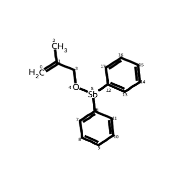 C=C(C)C[O][Sb]([c]1ccccc1)[c]1ccccc1